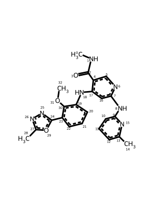 CNC(=O)c1cnc(Nc2cccc(C)n2)cc1Nc1cccc(-c2nnc(C)o2)c1OC